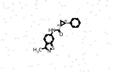 Cc1nsc2cc(NC(=O)[C@@H]3C[C@H]3c3ccccc3)ccc12